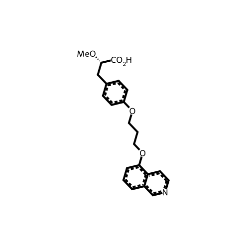 CO[C@@H](Cc1ccc(OCCCOc2cccc3cnccc23)cc1)C(=O)O